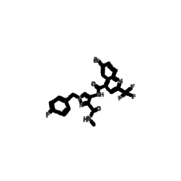 CNC(=O)c1nn(Cc2ccc(F)cc2)cc1NC(=O)c1cc(C(F)(F)F)nc2ccc(Br)cc12